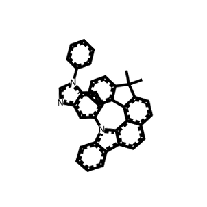 CC1(C)c2ccccc2-c2c1ccc1ccc3c4ccccc4n(-c4ccc5c(c4)ncn5-c4ccccc4)c3c21